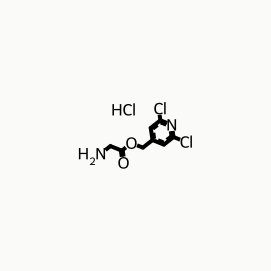 Cl.NCC(=O)OCc1cc(Cl)nc(Cl)c1